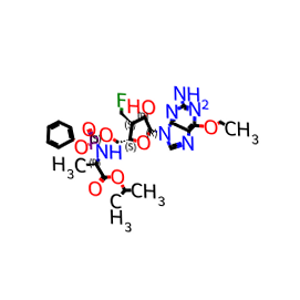 CCOc1nc(N)nc2c1ncn2[C@@H]1O[C@H](CO[P@@](=O)(N[C@H](C)C(=O)OC(C)C)Oc2ccccc2)[C@@H](CF)[C@H]1O